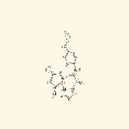 O=C(NNc1ccc(OCC(F)(F)F)cc1)c1cccn1-c1ncc(C(F)(F)F)cc1Cl